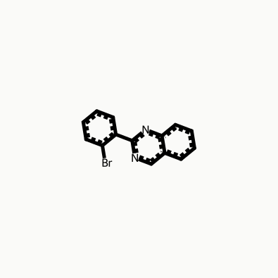 Brc1ccccc1-c1ncc2ccccc2n1